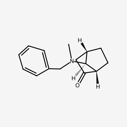 CN(Cc1ccccc1)[C@H]1[C@H]2CC[C@@H]1C(=O)C2